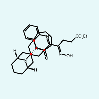 CCOC(=O)CC/C(=N\O)c1nc2ccccc2n([C@H]2C[C@H]3CCC[C@@H](C2)N3C2CC3CCCCC(C3)C2)c1=O